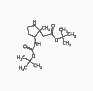 CC(C)(C)OC(=O)C[C@@]1(C)NCC[C@@H]1NC(=O)OC(C)(C)C